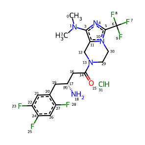 CN(C)c1nc(C(F)(F)F)n2c1CN(C(=O)C[C@H](N)Cc1cc(F)c(F)cc1F)CC2.Cl